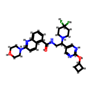 O=C(NCC(c1cnc(OC2CCC2)nc1)N1CCC(F)(F)CC1)c1cccc2nc(N3CCOCC3)ccc12